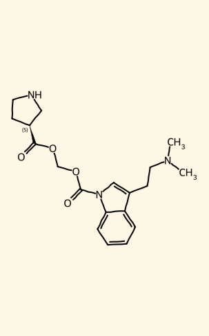 CN(C)CCc1cn(C(=O)OCOC(=O)[C@H]2CCNC2)c2ccccc12